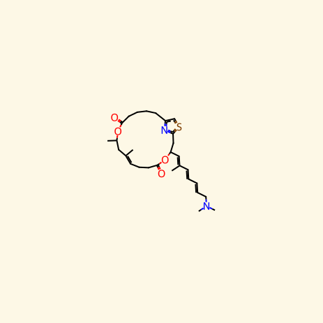 CC(/C=C/C=C/CN(C)C)=C\C1Cc2nc(cs2)CCCCC(=O)OC(C)C/C(C)=C/CCC(=O)O1